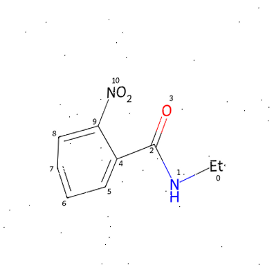 C[CH]NC(=O)c1ccccc1[N+](=O)[O-]